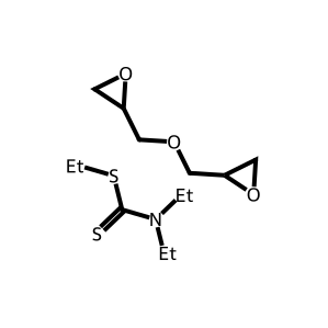 C(OCC1CO1)C1CO1.CCSC(=S)N(CC)CC